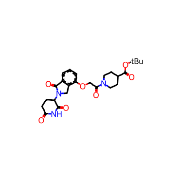 CC(C)(C)OC(=O)C1CCN(C(=O)COc2cccc3c2CN(C2CCC(=O)NC2=O)C3=O)CC1